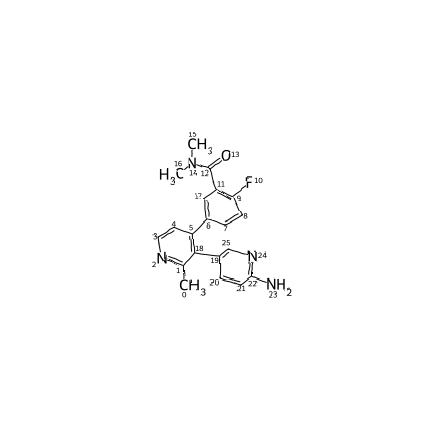 Cc1nccc(-c2ccc(F)c(C(=O)N(C)C)c2)c1-c1ccc(N)nc1